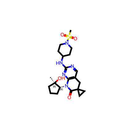 C[C@@]1(O)CCC[C@H]1N1C(=O)C2(CC2)Cc2cnc(NC3CCN(S(C)(=O)=O)CC3)nc21